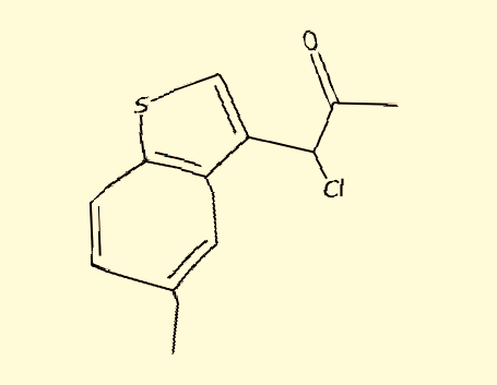 CC(=O)C(Cl)c1csc2ccc(C)cc12